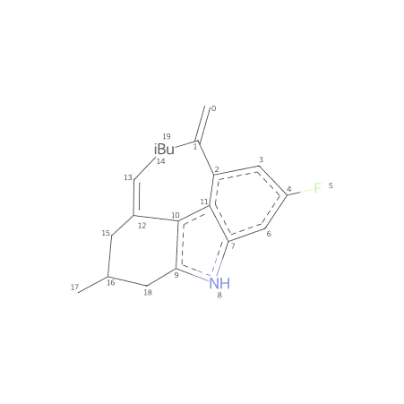 C=C(c1cc(F)cc2[nH]c3c(c12)/C(=C\C)CC(C)C3)C(C)CC